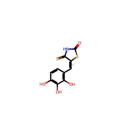 O=C1NC(=S)/C(=C\c2ccc(O)c(O)c2O)S1